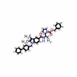 Cc1c(C)n(Cc2ccc(-c3ccccc3)cc2)c2ccc(C(=O)N[C@@H](C)[C@H]3CCCN3C(=O)OCc3ccccc3)cc12